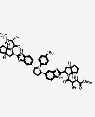 COC(=O)N[C@H](C(=O)N1C(c2nc3cc([C@H]4CC[C@H](c5ccc6[nH]c([C@@H]7C[C@@H]8CCC[C@@H]8N7C(=O)[C@H](C(C)C)N(C)C(=O)O)nc6c5)N4c4ccc(C(C)(C)C)cc4)ccc3[nH]2)C[C@@H]2CCC[C@@H]21)C(C)C